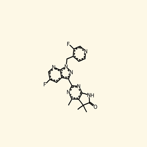 Cc1nc(-c2nn(Cc3ccncc3F)c3ncc(F)cc23)nc2c1C(C)(C)C(=O)N2